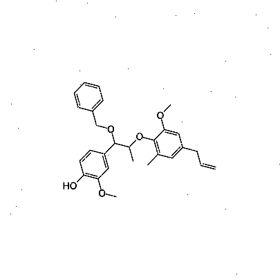 C=CCc1cc(C)c(OC(C)C(OCc2ccccc2)c2ccc(O)c(OC)c2)c(OC)c1